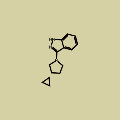 C1CC1.c1ccc2c(N3CCCC3)n[nH]c2c1